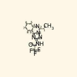 CCc1nc2ccccc2c2nc(NC(=O)C(F)(F)F)nn12